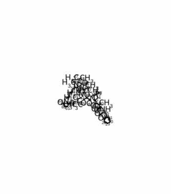 CC[C@H](C)[C@@H](C(CC(=O)N1CC2(CC2)C[C@H]1[C@H](OC)[C@@H](C)C(=O)N[C@@H](Cc1ccccc1)C(=O)O)OC)N(C)C(=O)[C@@H](NC(=O)[C@H](C(C)C)N(C)C(=O)CCCCCN1C(=O)C=CC1=O)C(C)C